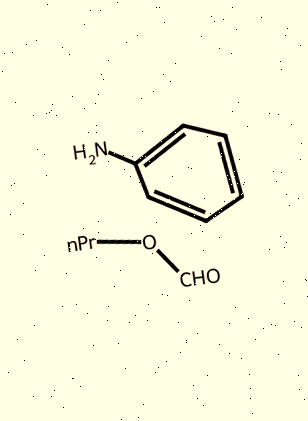 CCCOC=O.Nc1ccccc1